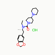 CCN(C(=O)N1CCC(N2CCCCC2)CC1)[C@@H](C)Cc1ccc2c(c1)OCO2.Cl